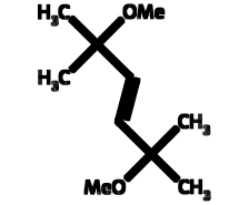 COC(C)(C)C=CC(C)(C)OC